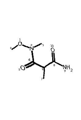 CON(C)C(=O)[C](C)C(N)=O